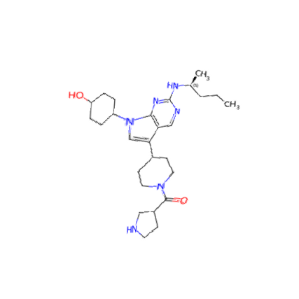 CCC[C@H](C)Nc1ncc2c(C3CCN(C(=O)C4CCNC4)CC3)cn(C3CCC(O)CC3)c2n1